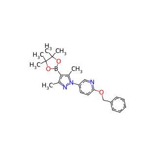 Cc1nn(-c2ccc(OCc3ccccc3)nc2)c(C)c1B1OC(C)(C)C(C)(C)O1